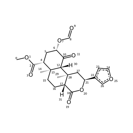 COC(=O)[C@@H]1C[C@H](OC=O)C(=O)[C@H]2[C@@]1(C)CC[C@H]1C(=O)O[C@H](c3ccoc3)C[C@]21C